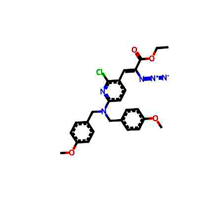 CCOC(=O)C(=Cc1ccc(N(Cc2ccc(OC)cc2)Cc2ccc(OC)cc2)nc1Cl)N=[N+]=[N-]